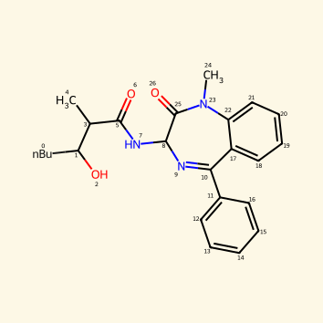 CCCCC(O)C(C)C(=O)NC1N=C(c2ccccc2)c2ccccc2N(C)C1=O